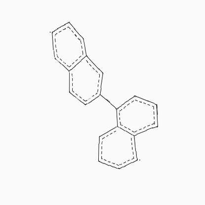 [c]1ccc2cc(-c3cccc4[c]cccc34)ccc2c1